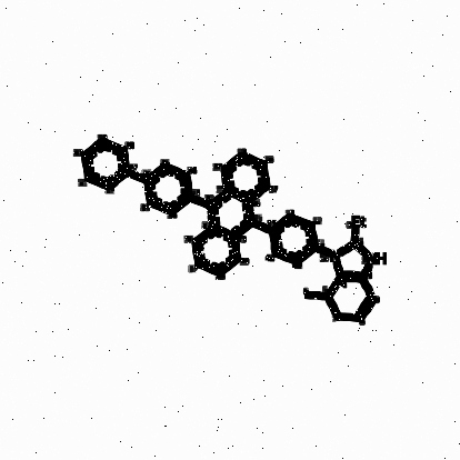 CCC1NC2=C(C(C)CC=C2)N1c1ccc(-c2c3ccccc3c(-c3ccc(-c4ccccc4)cc3)c3ccccc23)cc1